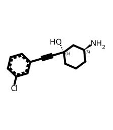 N[C@H]1CCC[C@@](O)(C#Cc2cccc(Cl)c2)C1